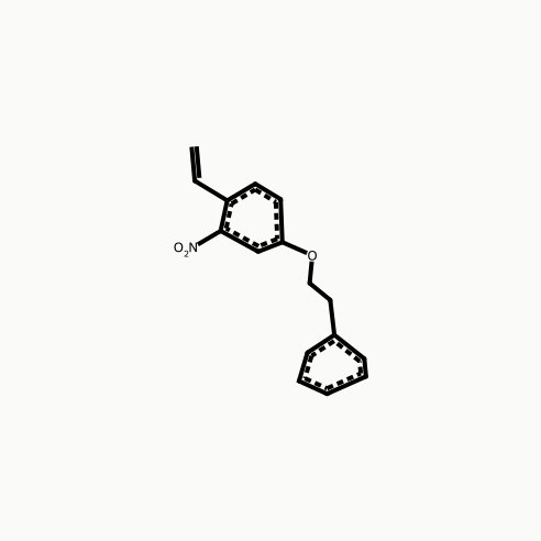 C=Cc1ccc(OCCc2ccccc2)cc1[N+](=O)[O-]